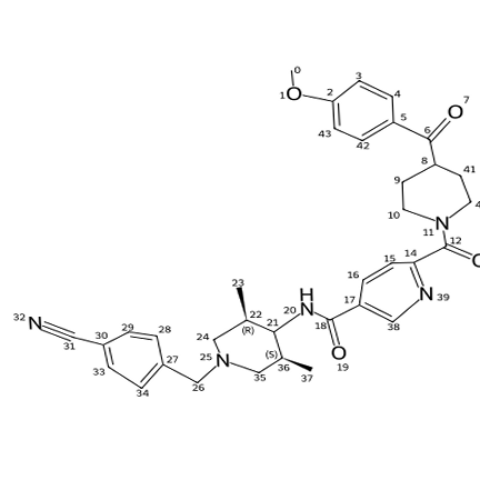 COc1ccc(C(=O)C2CCN(C(=O)c3ccc(C(=O)NC4[C@H](C)CN(Cc5ccc(C#N)cc5)C[C@@H]4C)cn3)CC2)cc1